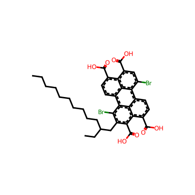 CCCCCCCCCCC(CC)Cc1c(C(=O)O)c2c(C(=O)O)ccc3c4c(Br)cc(C(=O)O)c5c(C(=O)O)ccc(c(c1Br)c23)c54